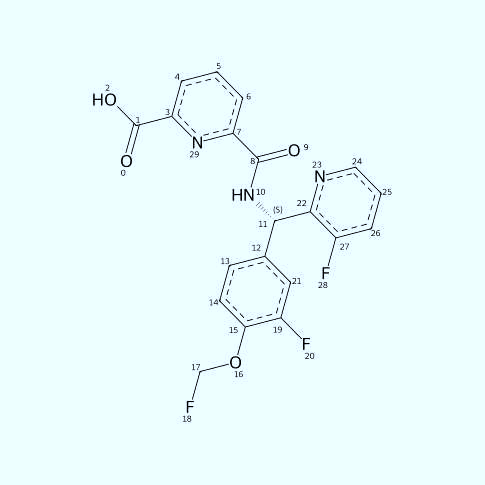 O=C(O)c1cccc(C(=O)N[C@@H](c2ccc(OCF)c(F)c2)c2ncccc2F)n1